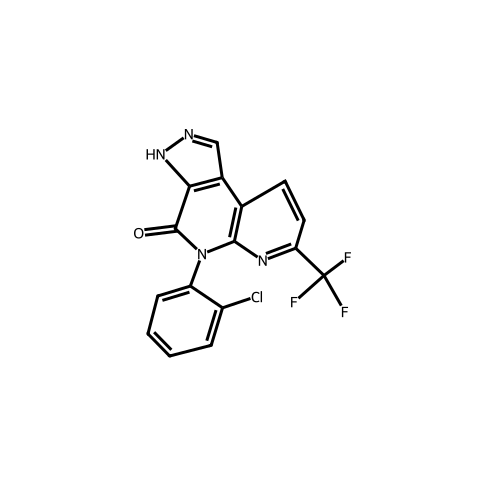 O=c1c2[nH]ncc2c2ccc(C(F)(F)F)nc2n1-c1ccccc1Cl